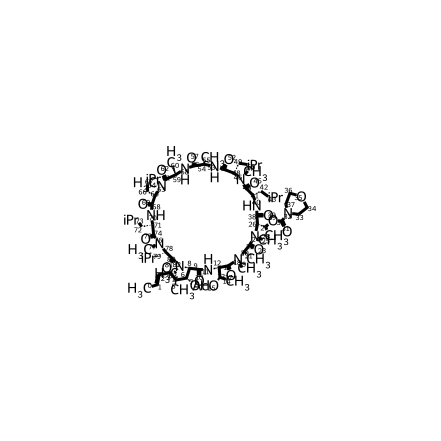 C/C=C/C[C@@H](C)[C@@H](O)[C@H]1C(=O)N[C@@H]([C@@H](C)OC(C)=O)C(=O)N(C)[C@H](C)C(=O)N(C)[C@@H](C(C)OC(=O)N2CCOCC2)C(=O)N[C@@H](CC(C)C)C(=O)N(C)[C@@H](CC(C)C)C(=O)N[C@@H](C)C(=O)N[C@H](C)C(=O)N(C)[C@@H](CC(C)C)C(=O)N[C@@H](CC(C)C)C(=O)N(C)[C@@H](C(C)C)C(=O)N1C